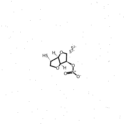 O=[N+]([O-])O[C@@H]1CO[C@H]2[C@@H]1OC[C@@H]2S.[S-2].[S-2]